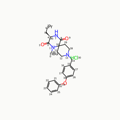 CCCCN1C(=O)[C@@H](CC(C)C)NC(=O)C12CCN(Cc1ccc(Oc3ccccc3)cc1)CC2.Cl